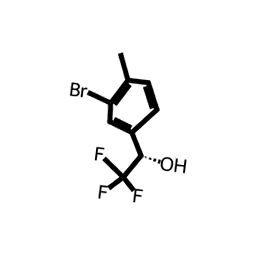 Cc1ccc([C@H](O)C(F)(F)F)cc1Br